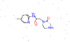 Cc1ccc(NC(=O)CN2CCNCC2=O)nc1